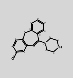 Clc1ccc2c(c1)C=C(N1CCNCC1)c1ccccc1C2